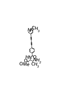 COC(=O)C(NC(=O)c1ccc(C#CC#Cc2cnn(C)c2)cc1)C(C)N